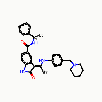 CC[C@@H](NC(=O)c1ccc2c(c1)C(=C(Nc1ccc(CN3CCCCC3)cc1)C(C)C)C(=O)N2)c1ccccc1